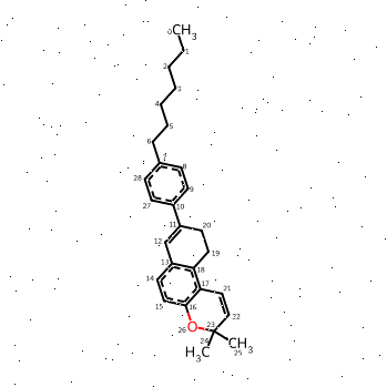 CCCCCCCc1ccc(C2=Cc3ccc4c(c3CC2)C=CC(C)(C)O4)cc1